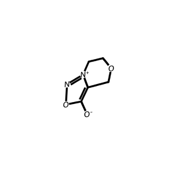 [O-]c1on[n+]2c1COCC2